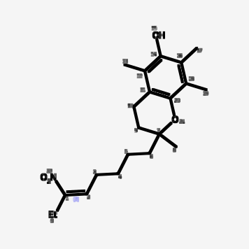 CC/C(=C/CCCCC1(C)CCc2c(C)c(O)c(C)c(C)c2O1)[N+](=O)[O-]